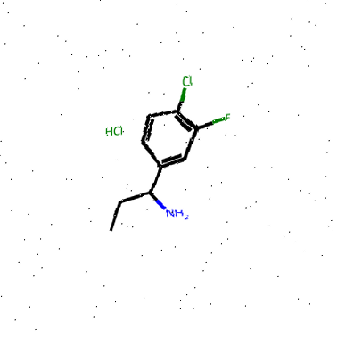 CCC(N)c1ccc(Cl)c(F)c1.Cl